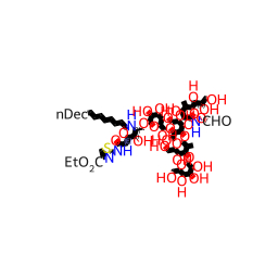 CCCCCCCCCCCCCCCCCC(=O)N[C@@H](COC1OC(CO)C(OC2OC(CO)C(OC3OC(CO)C(O)C(OC4OC(CO)C(O)C(O)C4O)C3C)C(OC3(NOC=O)CC(O)C(C)C([C@H](O)[C@H](O)CO)O3)C2O)C(O)C1O)[C@H](O)/C=C/C(=O)Nc1nc(C(=O)OCC)cs1